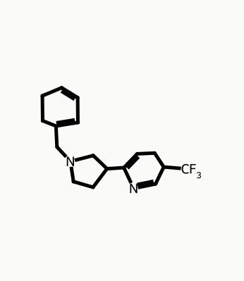 FC(F)(F)C1C=NC(C2CCN(CC3=CC=CCC3)C2)=CC1